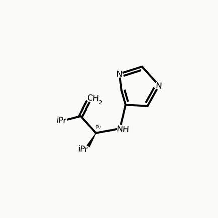 C=C(C(C)C)[C@@H](Nc1cncnc1)C(C)C